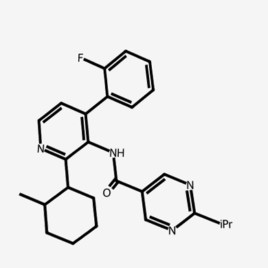 CC(C)c1ncc(C(=O)Nc2c(-c3ccccc3F)ccnc2C2CCCCC2C)cn1